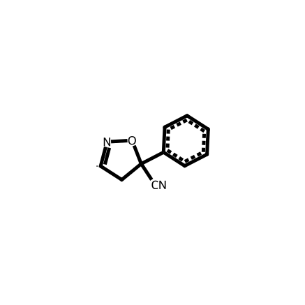 N#CC1(c2ccccc2)C[C]=NO1